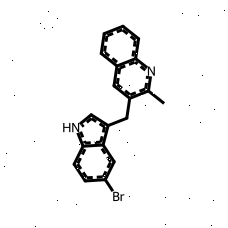 Cc1nc2ccccc2cc1Cc1c[nH]c2ccc(Br)cc12